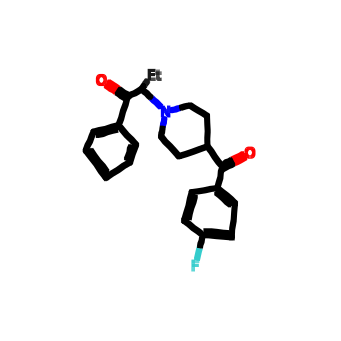 CCC(C(=O)c1ccccc1)N1CCC(C(=O)c2ccc(F)cc2)CC1